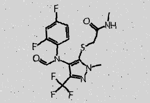 CNC(=O)CSc1c(N(C=O)c2ccc(F)cc2F)c(C(F)(F)F)nn1C